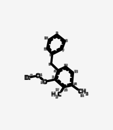 CCOOc1c(Cc2ccccc2)ccc(C)c1C